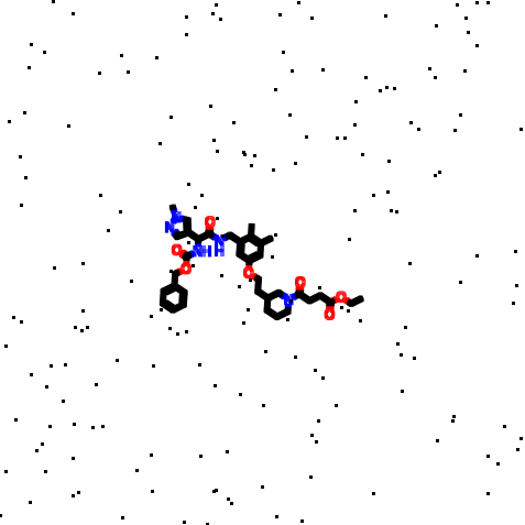 CCOC(=O)CCC(=O)N1CCCC(CCOc2cc(C)c(C)c(CNC(=O)C(NC(=O)OCc3ccccc3)c3cnn(C)c3)c2)C1